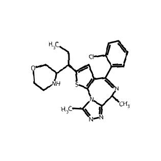 CCC(c1cc2c(s1)-n1c(C)nnc1C(C)N=C2c1ccccc1Cl)C1COCCN1